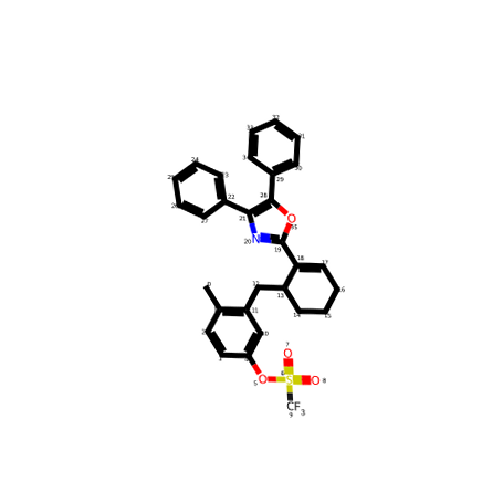 Cc1ccc(OS(=O)(=O)C(F)(F)F)cc1CC1CCCC=C1c1nc(-c2ccccc2)c(-c2ccccc2)o1